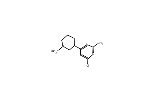 Cc1nc(Cl)cc(C2CCCN(C(=O)O)C2)n1